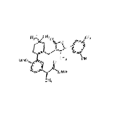 COC(=O)C(C)c1ccc(OC)c(C2=C(CN3C(=O)O[C@H](c4cc(C)cc(C(F)(F)F)c4)[C@@H]3C)CC(C)(C)CC2)c1